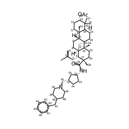 C=C(C)C[C@@H]1[C@H]2CC[C@@H]3[C@]4(C)CC[C@H](OC(C)=O)C(C)(C)[C@H]4CC[C@@]3(C)[C@]2(C)CC[C@]1(C)C(=O)N[C@@H]1CC[C@H](CN2CCC(Cc3ccccc3)CC2)C1